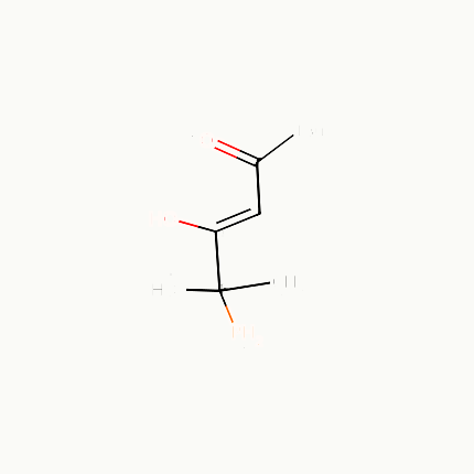 CC(C)(C)C(=O)/C=C(\O)C(C)(C)P